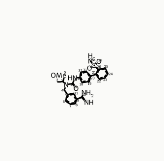 COC(C)N(Cc1cccc(C(=N)N)c1)C(=O)Nc1ccc(-c2ccccc2S(N)(=O)=O)cc1